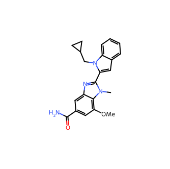 COc1cc(C(N)=O)cc2nc(-c3cc4ccccc4n3CC3CC3)n(C)c12